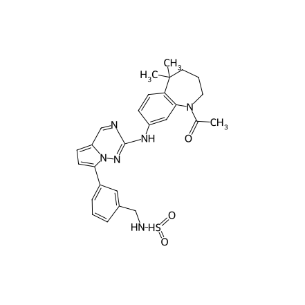 CC(=O)N1CCCC(C)(C)c2ccc(Nc3ncc4ccc(-c5cccc(CN[SH](=O)=O)c5)n4n3)cc21